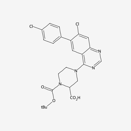 CC(C)(C)OC(=O)N1CCN(c2ncnc3cc(Cl)c(-c4ccc(Cl)cc4)cc23)CC1C(=O)O